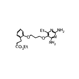 CCOC(=O)CCc1ccccc1OCCCOc1c(N)nc(N)nc1CC